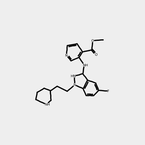 COC(=O)c1ccncc1NC1NN(CCC2CCCNC2)c2ccc(F)cc21